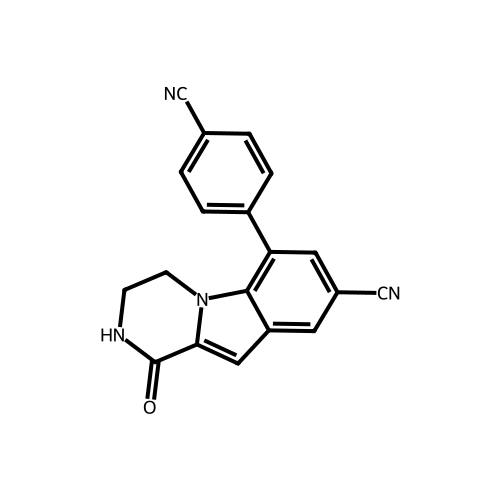 N#Cc1ccc(-c2cc(C#N)cc3cc4n(c23)CCNC4=O)cc1